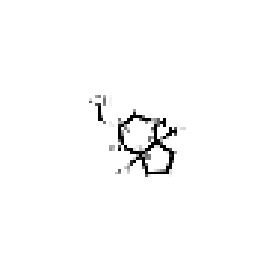 OC[C@@H]1CN[C@@H]2CCC[C@@H]2O1